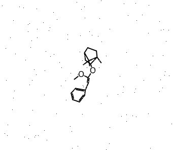 COC(=Cc1ccccc1)OC1CC2CCC1(C)C2(C)C